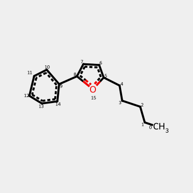 CCCCCc1ccc(-c2ccccc2)o1